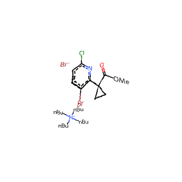 CCCC[N+](CCCC)(CCCC)CCCC.COC(=O)C1(c2nc(Cl)ccc2Br)CC1.[Br-]